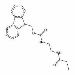 O=C(CI)NCCNC(=O)OCC1c2ccccc2-c2ccccc21